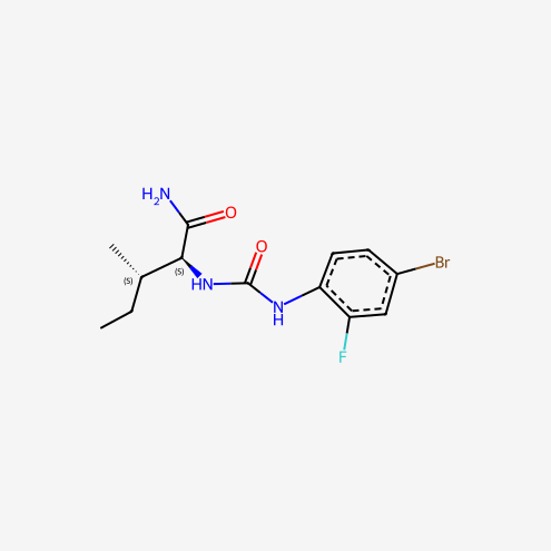 CC[C@H](C)[C@H](NC(=O)Nc1ccc(Br)cc1F)C(N)=O